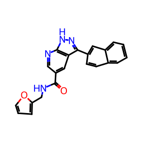 O=C(NCc1ccco1)c1cnc2[nH]nc(-c3ccc4ccccc4c3)c2c1